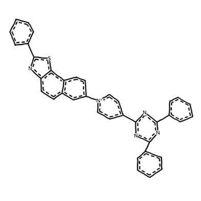 c1ccc(-c2nc(-c3ccccc3)nc(-c3cc[n+](-c4ccc5c(ccc6nc(-c7ccccc7)sc65)c4)cc3)n2)cc1